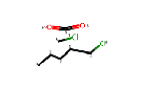 CCCCCCl.CCl.O=C=O